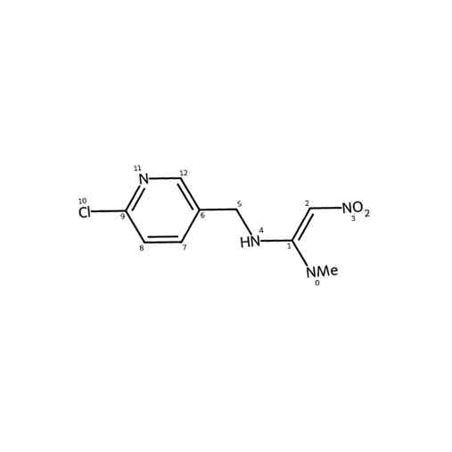 CNC(=C[N+](=O)[O-])NCc1ccc(Cl)nc1